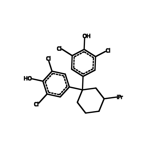 CC(C)C1CCCC(c2cc(Cl)c(O)c(Cl)c2)(c2cc(Cl)c(O)c(Cl)c2)C1